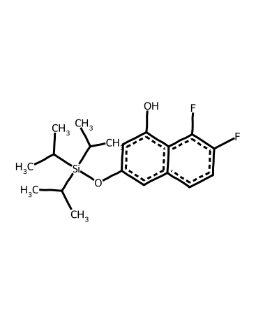 CC(C)[Si](Oc1cc(O)c2c(F)c(F)ccc2c1)(C(C)C)C(C)C